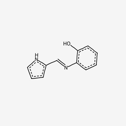 Oc1ccccc1/N=C/c1ccc[nH]1